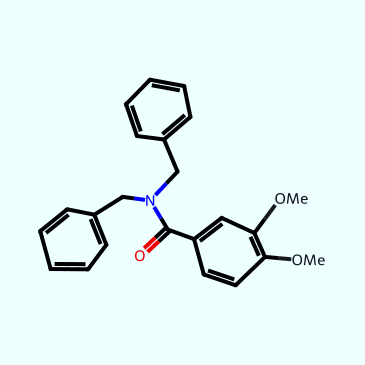 COc1ccc(C(=O)N(Cc2ccccc2)Cc2ccccc2)cc1OC